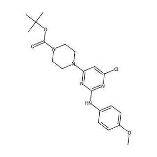 COc1ccc(Nc2nc(Cl)cc(N3CCN(C(=O)OC(C)(C)C)CC3)n2)cc1